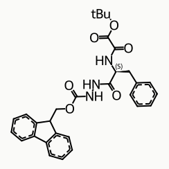 CC(C)(C)OC(=O)C(=O)N[C@@H](Cc1ccccc1)C(=O)NNC(=O)OCC1c2ccccc2-c2ccccc21